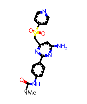 CNC(=O)Nc1ccc(-c2nc(N)cc(CS(=O)(=O)c3ccncc3)n2)cc1